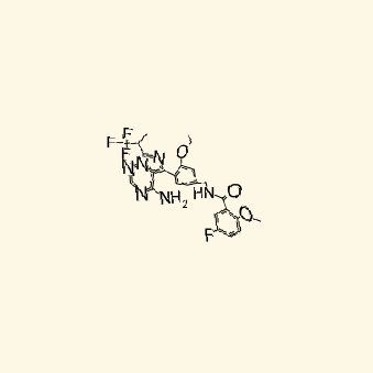 CCOc1cc(CNC(=O)c2cc(F)ccc2OC)ccc1-c1nc(C(C)C(F)(F)F)n2ncnc(N)c12